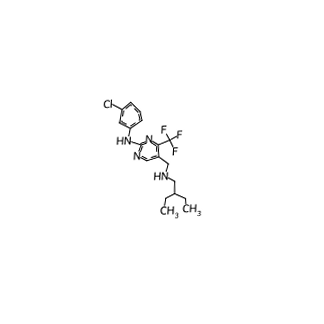 CCC(CC)CNCc1cnc(Nc2cccc(Cl)c2)nc1C(F)(F)F